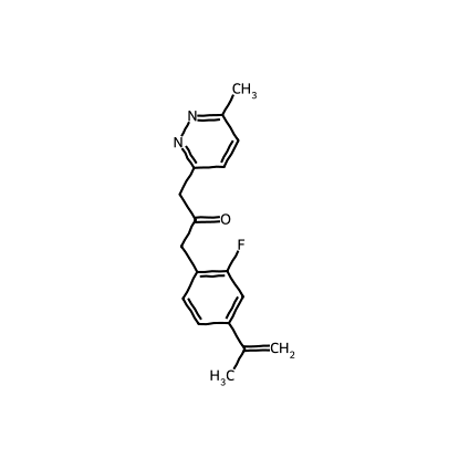 C=C(C)c1ccc(CC(=O)Cc2ccc(C)nn2)c(F)c1